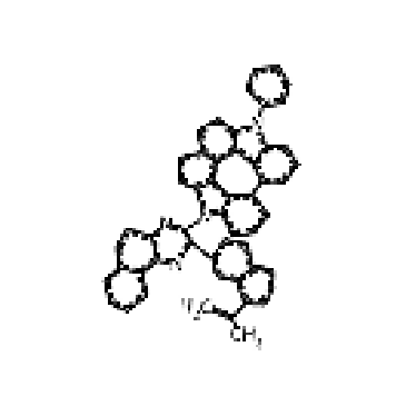 C=C(C)c1cccc2ccc(-c3nc4c(ccc5ccccc54)nc3-n3c4cccc5c4c4c6c(ccc7c6c6c-5cccc6n7-c5ccccc5)ccc43)cc12